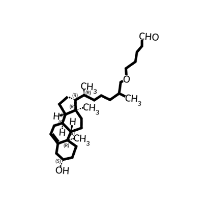 CC(CCC[C@@H](C)[C@H]1CC[C@H]2[C@@H]3CC=C4C[C@@H](O)CC[C@]4(C)[C@H]3CC[C@]12C)COCCCCC=O